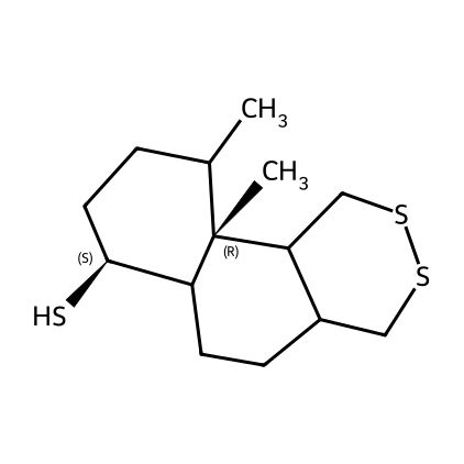 CC1CC[C@H](S)C2CCC3CSSCC3[C@@]12C